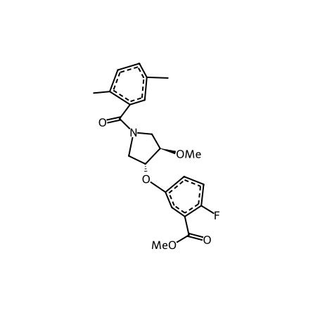 COC(=O)c1cc(O[C@@H]2CN(C(=O)c3cc(C)ccc3C)C[C@H]2OC)ccc1F